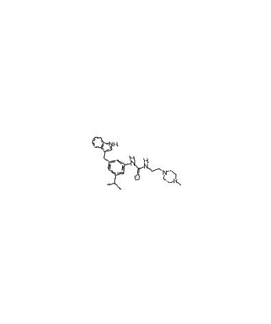 CC(C)c1cc(Cc2c[nH]c3ccccc23)cc(NC(=O)NCCN2CCN(C)CC2)c1